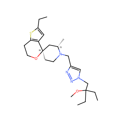 CCc1cc2c(s1)CCO[C@@]21CCN(Cc2cn(CC(CC)(CC)OC)nn2)[C@@H](C)C1